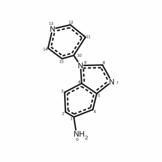 Nc1ccc2c(c1)ncn2-c1ccncc1